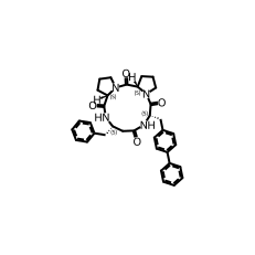 O=C1C[C@H](Cc2ccccc2)NC(=O)[C@@H]2CCCN2C(=O)[C@@H]2CCCN2C(=O)[C@H](Cc2ccc(-c3ccccc3)cc2)N1